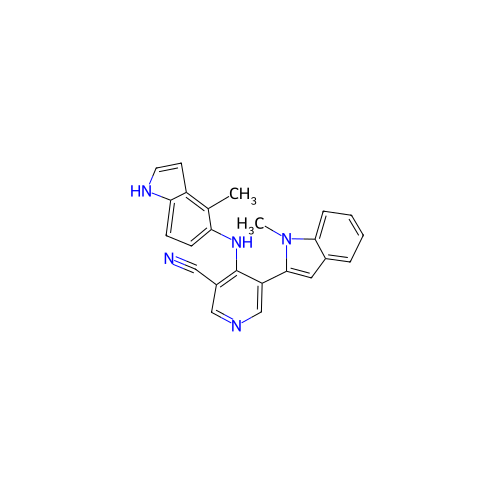 Cc1c(Nc2c(C#N)cncc2-c2cc3ccccc3n2C)ccc2[nH]ccc12